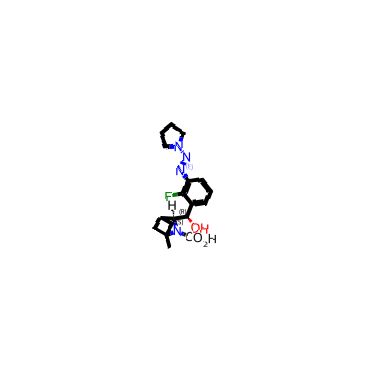 CC12CC(C1)[C@@H]([C@H](O)c1cccc(/N=N/N3CCCC3)c1F)N2C(=O)O